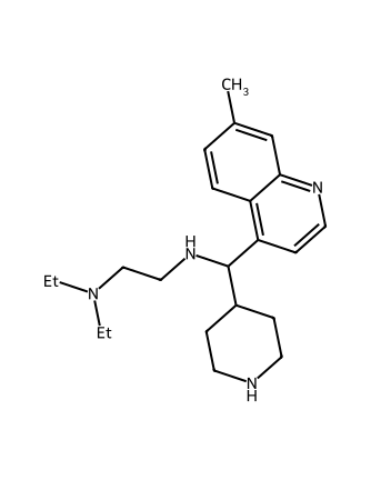 CCN(CC)CCNC(c1ccnc2cc(C)ccc12)C1CCNCC1